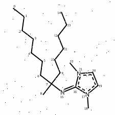 CCCCCCCC(C)(CCCCCC)N=c1n(C)ccn1C